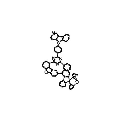 c1ccc(-c2nc(-c3ccc(-n4c5ccccc5c5cnccc54)cc3)nc(-c3cccc4oc5ccc(-c6cccc7c6-c6ccccc6C76c7ccccc7Oc7ccccc76)cc5c34)n2)cc1